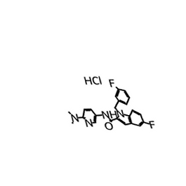 CN(C)c1ccc(NC(=O)c2cc3cc(F)ccc3n2Cc2cccc(F)c2)cn1.Cl